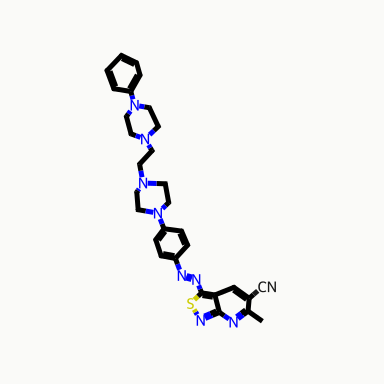 Cc1nc2nsc(N=Nc3ccc(N4CCN(CCN5CCN(c6ccccc6)CC5)CC4)cc3)c2cc1C#N